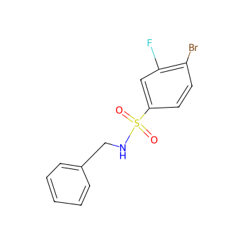 O=S(=O)(NCc1ccccc1)c1ccc(Br)c(F)c1